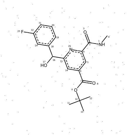 CNC(=O)c1cc(C(=O)OC(C)(C)C)cc(C(O)c2cccc(F)c2)n1